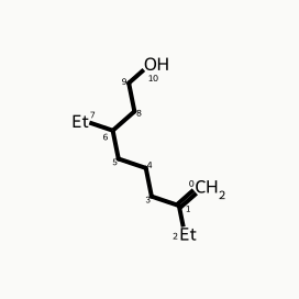 C=C(CC)CCCC(CC)CCO